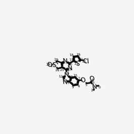 CN(C)C(=O)COc1ccc2ncn(-c3nc(-c4ccc(Cl)s4)nc4c3C[S+]([O-])C4)c2c1